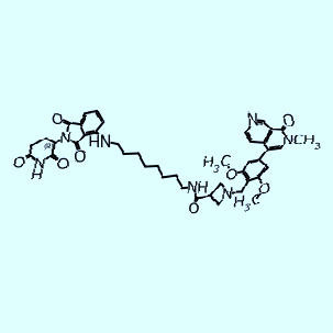 COc1cc(-c2cn(C)c(=O)c3cnccc23)cc(OC)c1CN1CC(C(=O)NCCCCCCCCNc2cccc3c2C(=O)N([C@@H]2CCC(=O)NC2=O)C3=O)C1